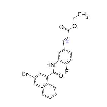 CCOC(=O)/C=C/c1ccc(F)c(NC(=O)c2cc(Br)cc3ccccc23)c1